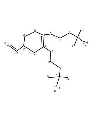 CC(C)(O)CCCC1=C(CCCC(C)(C)O)CC(C=O)CC1